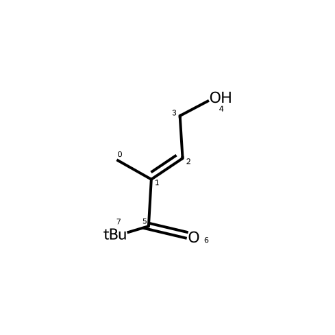 C/C(=C\CO)C(=O)C(C)(C)C